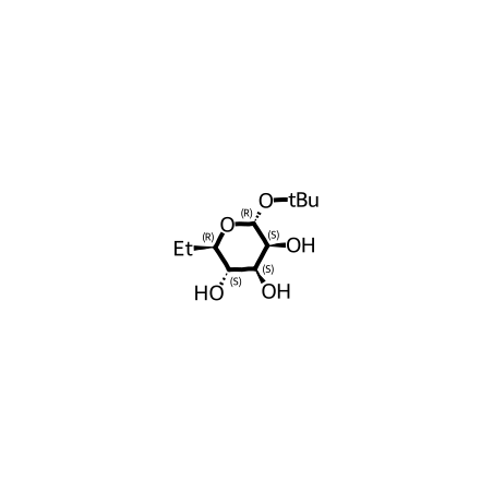 CC[C@H]1O[C@H](OC(C)(C)C)[C@@H](O)[C@@H](O)[C@@H]1O